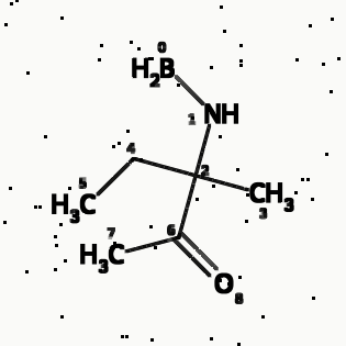 BNC(C)(CC)C(C)=O